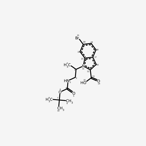 CC(CNC(=O)OC(C)(C)C)n1c(C(=O)O)cc2ccc(Br)cc21